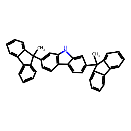 CC1(c2ccc3c(c2)[nH]c2cc(C4(C)c5ccccc5-c5ccccc54)ccc23)c2ccccc2-c2ccccc21